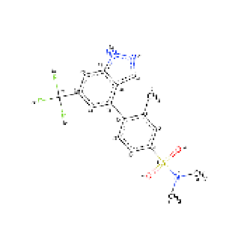 Cc1cc(S(=O)(=O)N(C)C)ccc1-c1cc(C(F)(F)F)cc2[nH]ncc12